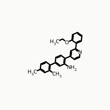 CCOc1ccccc1-c1cc(-c2ccc(-c3ccc(C)cc3C)cc2N)ccn1